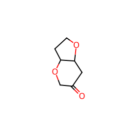 O=C1COC2CCOC2C1